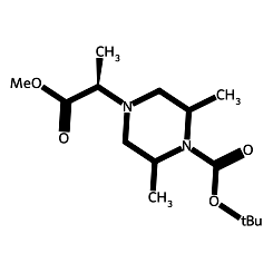 COC(=O)[C@@H](C)N1CC(C)N(C(=O)OC(C)(C)C)C(C)C1